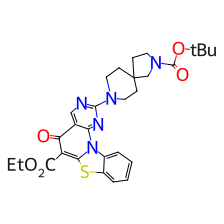 CCOC(=O)c1c(=O)c2cnc(N3CCC4(CCN(C(=O)OC(C)(C)C)C4)CC3)nc2n2c1sc1ccccc12